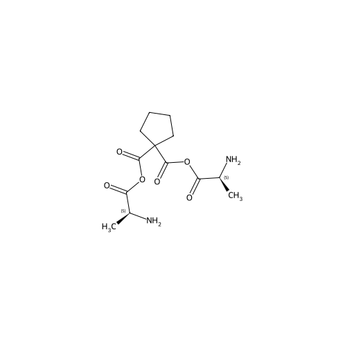 C[C@H](N)C(=O)OC(=O)C1(C(=O)OC(=O)[C@H](C)N)CCCC1